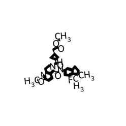 CCOC(=O)C[C@H]1C[C@@H](C(=O)N2CCc3nc(OC)ccc3[C@@H]2C(=O)Nc2cc(F)c3c(c2)CCC3(C)C)C1